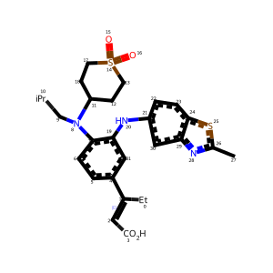 CC/C(=C\C(=O)O)c1ccc(N(CC(C)C)C2CCS(=O)(=O)CC2)c(Nc2ccc3sc(C)nc3c2)c1